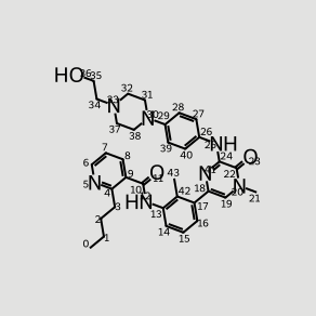 CCCCc1ncccc1C(=O)Nc1cccc(-c2cn(C)c(=O)c(Nc3ccc(N4CCN(CCO)CC4)cc3)n2)c1C